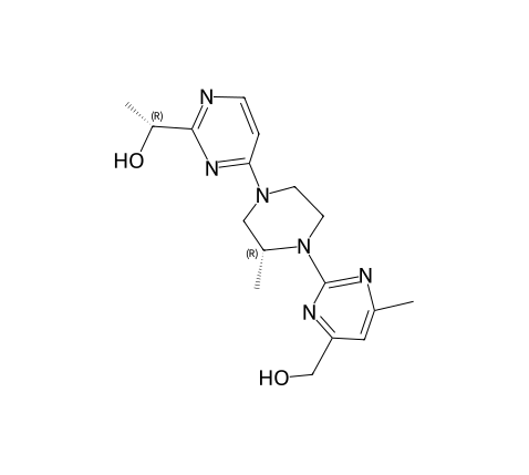 Cc1cc(CO)nc(N2CCN(c3ccnc([C@@H](C)O)n3)C[C@H]2C)n1